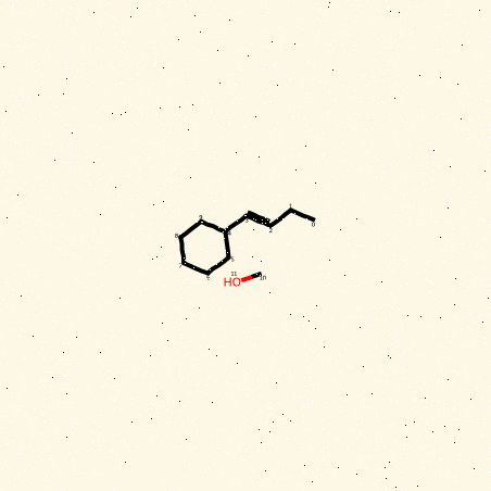 CCC=CC1CCCCC1.CO